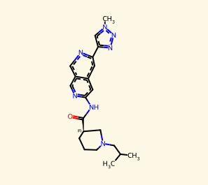 CC(C)CN1CCC[C@@H](C(=O)Nc2cc3cc(-c4cn(C)nn4)ncc3cn2)C1